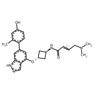 Cc1cc(O)ccc1-c1cc(O[C@H]2C[C@H](NC(=O)/C=C/CN(C)C)C2)c2cn[nH]c2c1